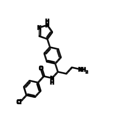 NCCC(NC(=O)c1ccc(Cl)cc1)c1ccc(-c2cn[nH]c2)cc1